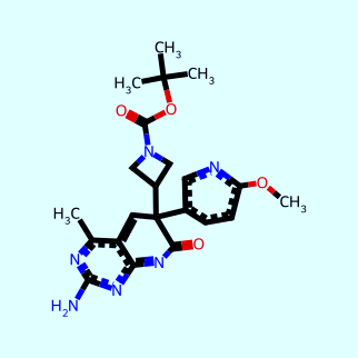 COc1ccc(C2(C3CN(C(=O)OC(C)(C)C)C3)C=c3c(C)nc(N)nc3=NC2=O)cn1